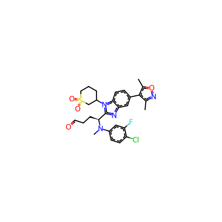 Cc1noc(C)c1-c1ccc2c(c1)nc([C@H](CCC=O)N(C)c1ccc(Cl)c(F)c1)n2C1CCCS(=O)(=O)C1